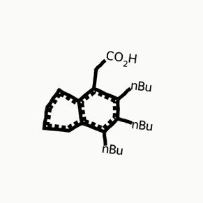 CCCCc1c(CCCC)c(CC(=O)O)c2ccccc2c1CCCC